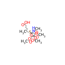 CC(=O)NC1C(OC(C)=O)[C@@H](OC(C)=O)C(COC(C)=O)O[C@H]1SCC(C)CCCC(=O)O